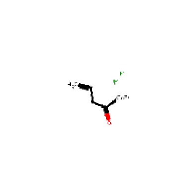 C=CC[C](=O)[Co+2].[F-].[F-]